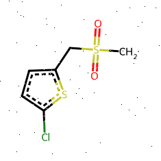 [CH2]S(=O)(=O)Cc1ccc(Cl)s1